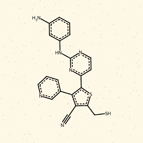 N#Cc1c(CS)sc(-c2ccnc(Nc3cccc(N)c3)n2)c1-c1cccnc1